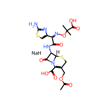 CC(=O)OCC1=C(C(=O)O)N2C(=O)[C@@H](NC(=O)/C(=N\OC(C)(C)C(=O)O)c3csc(N)n3)[C@H]2SC1.[NaH]